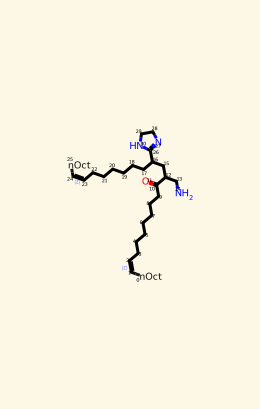 CCCCCCCC/C=C\CCCCCCCC(=O)C(CN)CC(CCCCCC/C=C\CCCCCCCC)C1=NCCN1